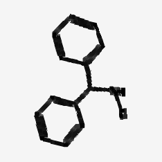 ClNC(c1ccccc1)c1ccccc1